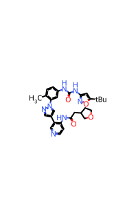 Cc1ccc(NC(=O)Nc2cc(C(C)(C)C)on2)cc1-n1cc(-c2cnccc2NC(=O)CC2CCOC2)cn1